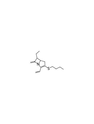 C=CC1=C(SCCCC)CC2C(CC)C(=C)N12